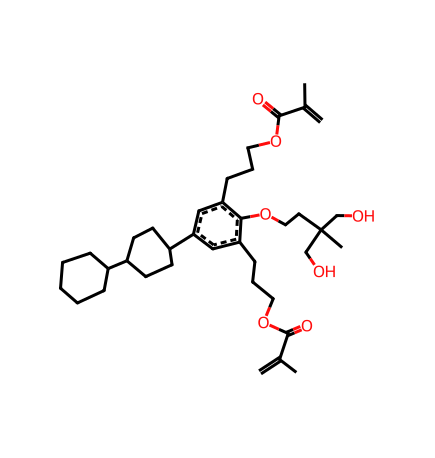 C=C(C)C(=O)OCCCc1cc(C2CCC(C3CCCCC3)CC2)cc(CCCOC(=O)C(=C)C)c1OCCC(C)(CO)CO